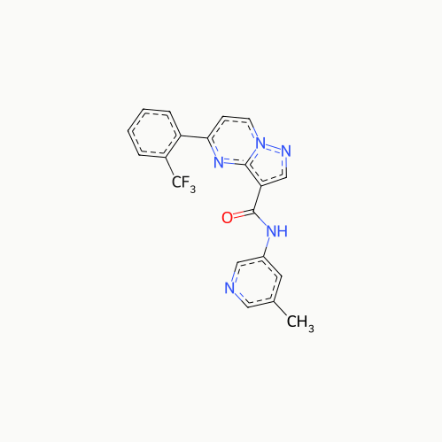 Cc1cncc(NC(=O)c2cnn3ccc(-c4ccccc4C(F)(F)F)nc23)c1